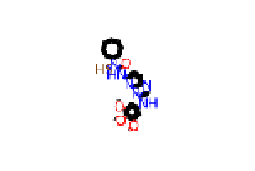 COc1cc(Nc2cnc3ccc(NC(=O)N(S)C4CCCCCCC4)nc3n2)cc(OC)c1OC